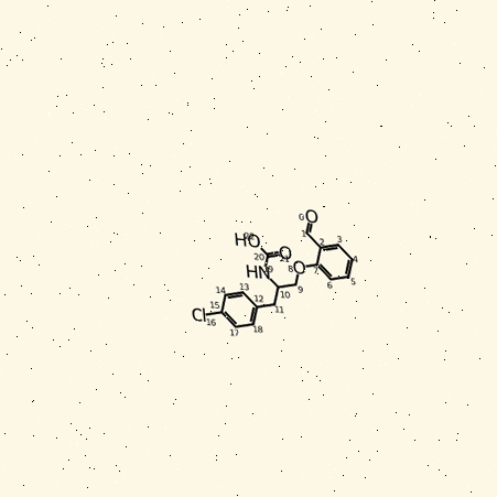 O=Cc1ccccc1OCC(Cc1ccc(Cl)cc1)NC(=O)O